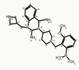 COc1cccc(N(C)C)c1CN1CCC(N2C(N)c3ccccc3N(CC3CNC3)C2N)CC1